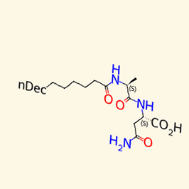 CCCCCCCCCCCCCCCC(=O)N[C@@H](C)C(=O)N[C@@H](CC(N)=O)C(=O)O